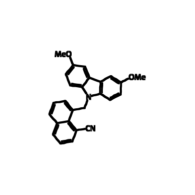 COc1ccc2c(c1)c1cc(OC)ccc1n2Cc1cccc2cccc(C#N)c12